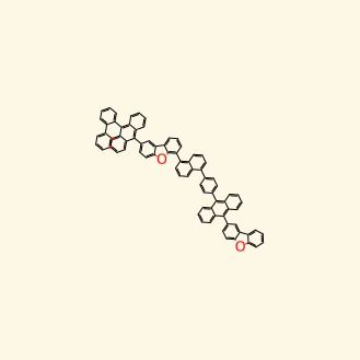 c1ccc(-c2ccccc2-c2c3ccccc3c(-c3ccc4oc5c(-c6cccc7c(-c8ccc(-c9c%10ccccc%10c(-c%10ccc%11oc%12ccccc%12c%11c%10)c%10ccccc9%10)cc8)cccc67)cccc5c4c3)c3ccccc23)cc1